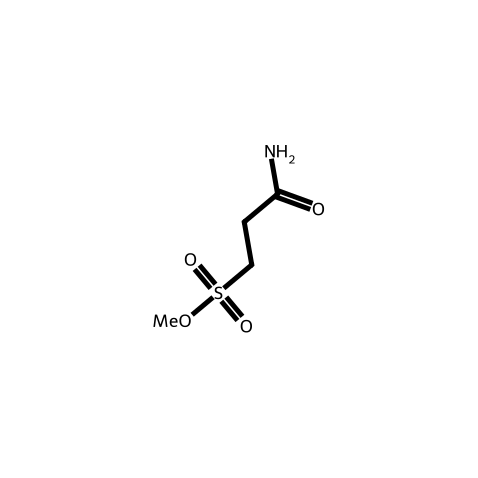 COS(=O)(=O)CCC(N)=O